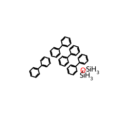 [SiH3]O[SiH3].c1ccc(-c2ccccc2)cc1.c1ccc(-c2ccccc2)cc1.c1ccc(-c2ccccc2)cc1.c1ccc(-c2ccccc2)cc1